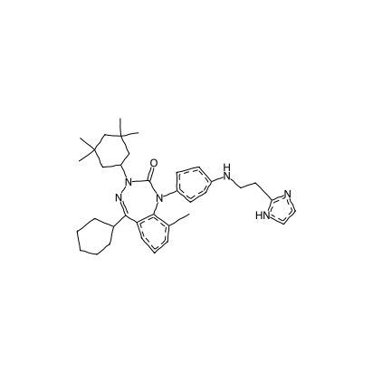 Cc1cccc2c1N(c1ccc(NCCc3ncc[nH]3)cc1)C(=O)N(C1CC(C)(C)CC(C)(C)C1)N=C2C1CCCCC1